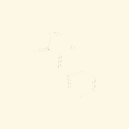 CC/C(=C\c1ccccc1)C(=O)OC